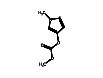 COC(=O)Oc1cnn(C)c1